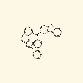 c1ccc(-c2nc3c(ccc4cccc(N(c5ccccc5)c5ccc6sc7ccccc7c6c5)c43)o2)cc1